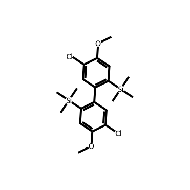 COc1cc([Si](C)(C)C)c(-c2cc(Cl)c(OC)cc2[Si](C)(C)C)cc1Cl